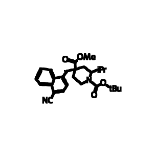 COC(=O)C1([CH]c2ccc(C#N)c3ccccc23)CCN(C(=O)OC(C)(C)C)C(C(C)C)C1